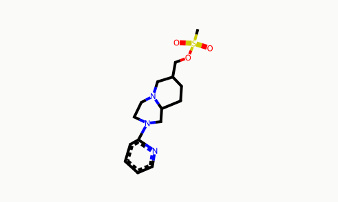 CS(=O)(=O)OCC1CCC2CN(c3ccccn3)CCN2C1